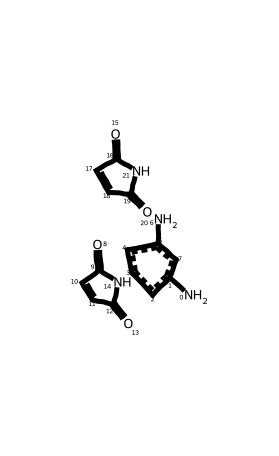 Nc1cccc(N)c1.O=C1C=CC(=O)N1.O=C1C=CC(=O)N1